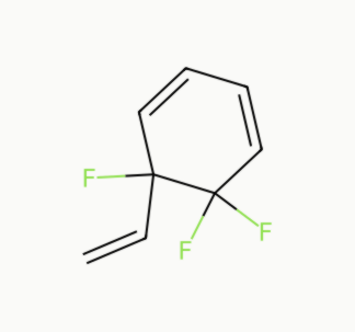 C=CC1(F)C=CC=CC1(F)F